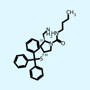 CCCCNC(=O)N1C[C@H](SC(c2ccccc2)(c2ccccc2)c2ccccc2)C[C@H]1CN